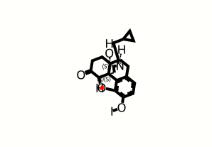 O=C1CC[C@@]2(O)[C@H]3Cc4ccc(OI)c5c4[C@@]2(CCN3CC2CC2)[C@H]1O5